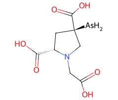 O=C(O)CN1C[C@@]([AsH2])(C(=O)O)C[C@H]1C(=O)O